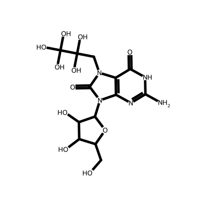 Nc1nc2c(c(=O)[nH]1)n(CC(O)(O)C(O)(O)O)c(=O)n2C1OC(CO)C(O)C1O